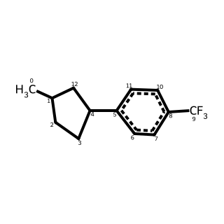 CC1CCC(c2ccc(C(F)(F)F)cc2)C1